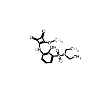 CCN(CC)S(=O)(=O)c1cccc(Nc2c(OC)c(=O)c2=O)c1O